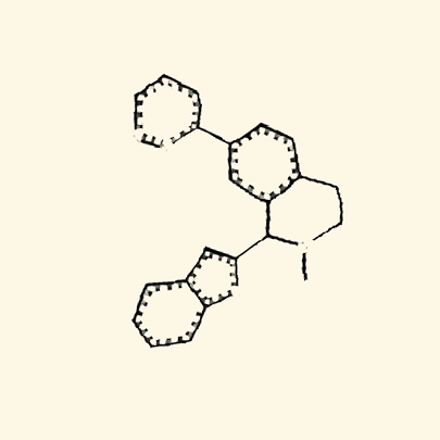 CN1CCc2ccc(-c3cccnn3)cc2C1c1cc2ccccc2s1